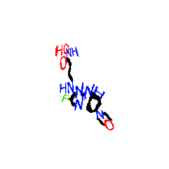 O=C(CCCNc1nc(Nc2ccc(N3CCOCC3)cc2)ncc1F)NO